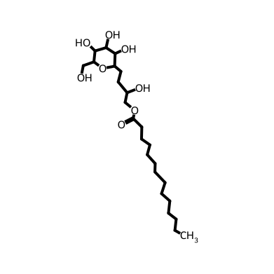 CCCCCCCCCCCCCC(=O)OCC(O)CCC1OC(CO)C(O)C(O)C1O